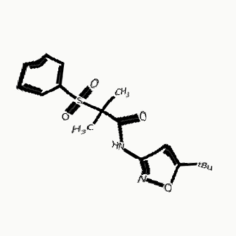 CC(C)(C)c1cc(NC(=O)C(C)(C)S(=O)(=O)c2ccccc2)no1